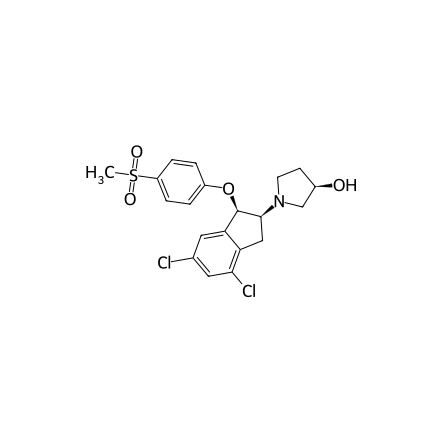 CS(=O)(=O)c1ccc(O[C@@H]2c3cc(Cl)cc(Cl)c3C[C@@H]2N2CC[C@@H](O)C2)cc1